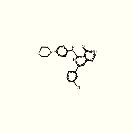 O=c1[nH]ccc2cc(-c3cccc(Cl)c3)nc(Nc3ccc(N4CCOCC4)cc3)c12